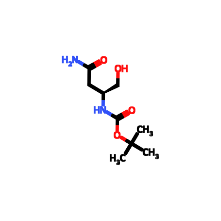 CC(C)(C)OC(=O)N[C@H](CO)CC(N)=O